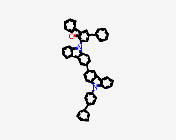 c1ccc(-c2ccc(-n3c4ccccc4c4cc(-c5ccc6c(c5)c5ccccc5n6-c5cc(-c6ccccc6)cc6c5oc5ccccc56)ccc43)cc2)cc1